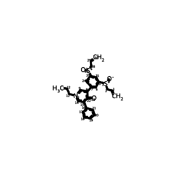 C=CC[S+]([O-])c1cc(-c2cn(CCC)cc(-c3ccccc3)c2=O)cc([S+]([O-])CC=C)c1